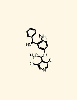 CC(Oc1ccc(N)c(C(=N)c2ccccc2)c1)c1c(Cl)cncc1Cl